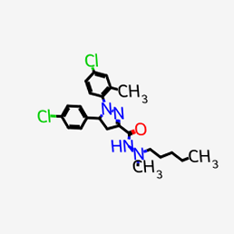 CCCCCN(C)NC(=O)C1=NN(c2ccc(Cl)cc2C)C(c2ccc(Cl)cc2)C1